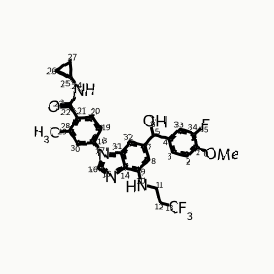 COc1ccc(C(O)c2cc(NCCC(F)(F)F)c3ncn(-c4ccc(C(=O)NC5CC5)c(C)c4)c3c2)cc1F